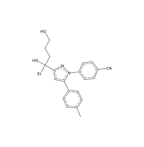 CCC(O)(CCCO)c1cc(-c2ccc(C)cc2)n(-c2ccc(C#N)cc2)n1